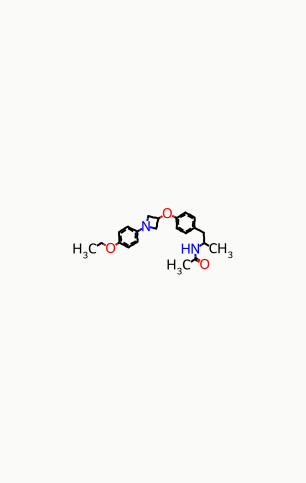 CCOc1ccc(N2CC(Oc3ccc(CC(C)NC(C)=O)cc3)C2)cc1